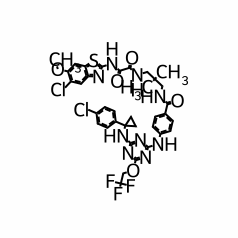 COc1cc2sc(NC(=O)C(=O)NCC(C)(C)CNC(=O)c3ccc(Nc4nc(NC5(c6ccc(Cl)cc6)CC5)nc(OCC(F)(F)F)n4)cc3)nc2cc1Cl